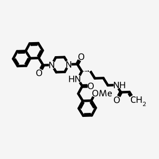 C=CC(=O)NCCCC[C@H](NC(=O)Cc1ccccc1OC)C(=O)N1CCN(C(=O)c2cccc3ccccc23)CC1